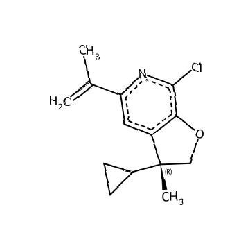 C=C(C)c1cc2c(c(Cl)n1)OC[C@]2(C)C1CC1